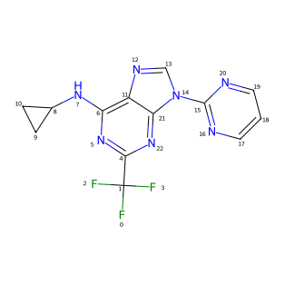 FC(F)(F)c1nc(NC2CC2)c2ncn(-c3ncccn3)c2n1